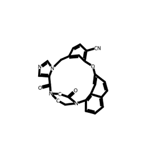 N#Cc1ccc2cc1Oc1ccc3cccc(c3c1)N1CCN(CC1=O)C(=O)c1cncn1C2